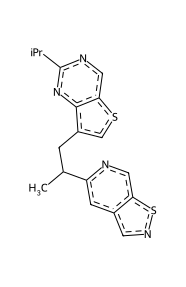 CC(C)c1ncc2scc(CC(C)c3cc4cnsc4cn3)c2n1